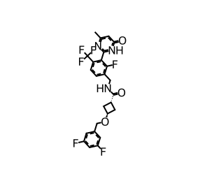 Cc1cc(=O)[nH]c(-c2c(C(F)(F)F)ccc(CNC(=O)[C@H]3C[C@H](OCc4cc(F)cc(F)c4)C3)c2F)n1